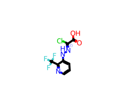 O=C(O)/C(Cl)=N/Nc1cccnc1C(F)(F)F